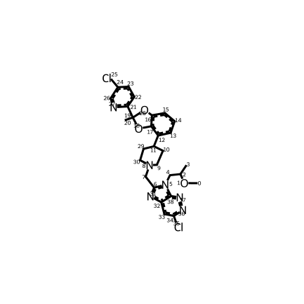 COC(C)Cn1c(CN2CCC(c3cccc4c3OC(C)(c3ccc(Cl)cn3)O4)CC2)nc2cc(Cl)nnc21